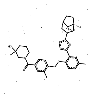 Cc1ccc(OCc2ccc(C(=O)N3CCCC(C)(O)C3)cc2C)c(-c2csc(N3CC4CC[C@@H](C3)[C@H]4C(=O)O)n2)c1